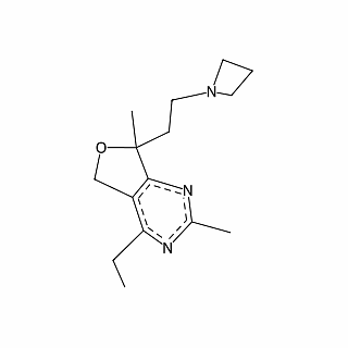 CCc1nc(C)nc2c1COC2(C)CCN1CCC1